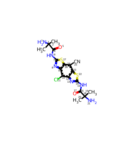 CC(C)(N)C(=O)Nc1nc2c(Cl)c3nc(NC(=O)C(C)(C)N)sc3c(C#N)c2s1